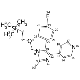 C[Si](C)(C)CCOCn1c(I)nc(-c2ccncc2)c1-c1ccc(F)cc1